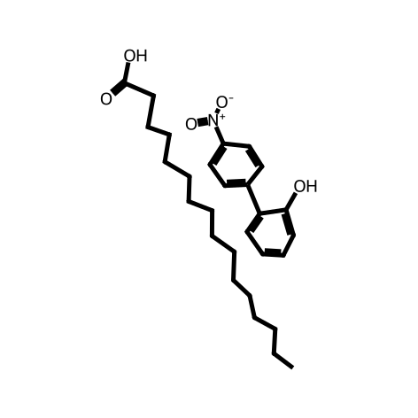 CCCCCCCCCCCCCCCC(=O)O.O=[N+]([O-])c1ccc(-c2ccccc2O)cc1